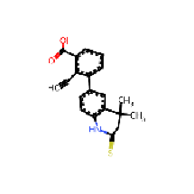 C#Cc1c(C(=O)O)cccc1-c1ccc2c(c1)C(C)(C)CC(=S)N2